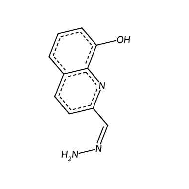 N/N=C\c1ccc2cccc(O)c2n1